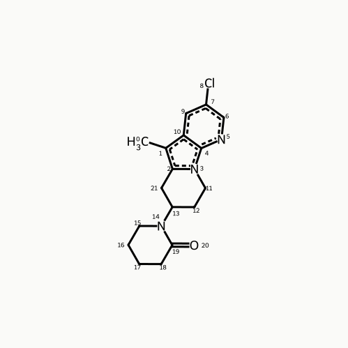 Cc1c2n(c3ncc(Cl)cc13)CCC(N1CCCCC1=O)C2